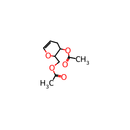 CC(=O)OCC1OC=CCC1OC(C)=O